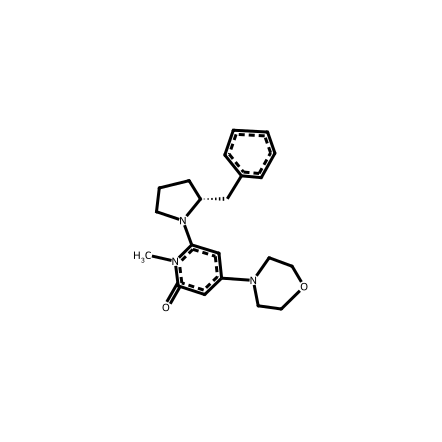 Cn1c(N2CCC[C@@H]2Cc2ccccc2)cc(N2CCOCC2)cc1=O